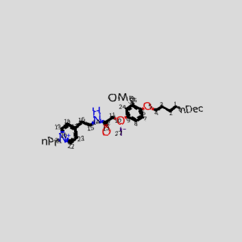 CCCCCCCCCCCCCCOc1ccc(OCC(=O)NCCc2cc[n+](CCC)cc2)cc1OC.[I-]